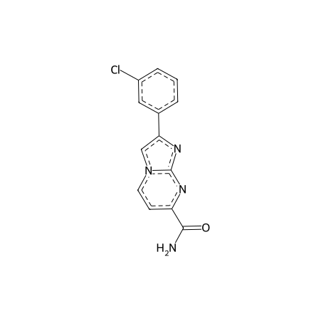 NC(=O)c1ccn2cc(-c3cccc(Cl)c3)nc2n1